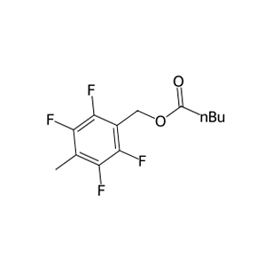 CCCCC(=O)OCc1c(F)c(F)c(C)c(F)c1F